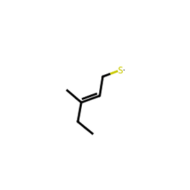 CCC(C)=CC[S]